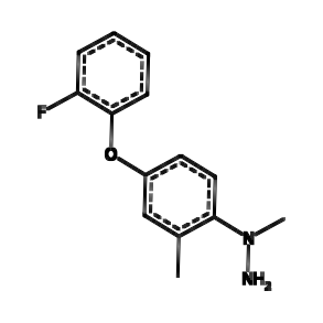 Cc1cc(Oc2ccccc2F)ccc1N(C)N